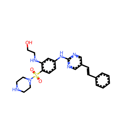 O=S(=O)(c1ccc(Nc2ncc(C=Cc3ccccc3)cn2)cc1NCCO)N1CCNCC1